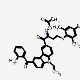 CCn1c2ccc(C(=O)/C(CCSc3c(C)cc(Br)cc3C)=N/OC(C)=O)cc2c2cc(C(=O)c3ccccc3C)ccc21